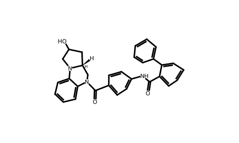 O=C(Nc1ccc(C(=O)N2C[C@H]3CC(O)CN3c3ccccc32)cc1)c1ccccc1-c1ccccc1